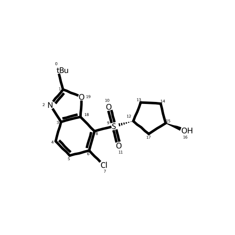 CC(C)(C)c1nc2ccc(Cl)c(S(=O)(=O)[C@@H]3CC[C@@H](O)C3)c2o1